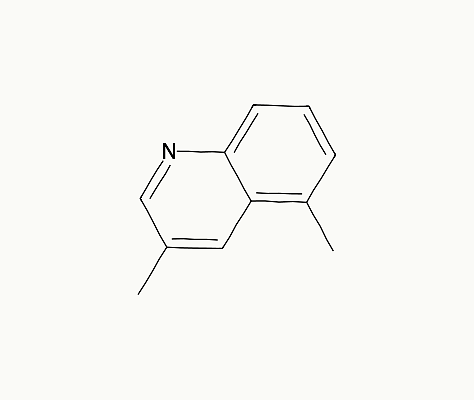 Cc1cnc2cccc(C)c2c1